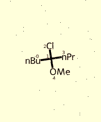 CCCCC(Cl)(CCC)OC